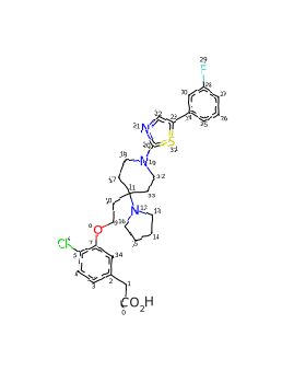 O=C(O)Cc1ccc(Cl)c(OCCC2(N3CCCC3)CCN(c3ncc(-c4cccc(F)c4)s3)CC2)c1